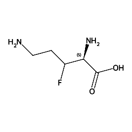 NCCC(F)[C@@H](N)C(=O)O